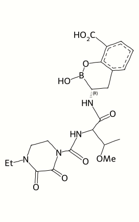 CCN1CCN(C(=O)NC(C(=O)N[C@H]2Cc3cccc(C(=O)O)c3OB2O)C(C)OC)C(=O)C1=O